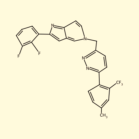 Cc1ccc(-c2ccc(Cn3ccc4nc(-c5cccc(F)c5F)cc-4c3)nn2)c(C(F)(F)F)c1